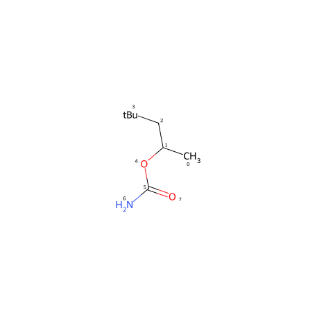 CC(CC(C)(C)C)OC(N)=O